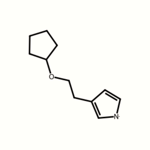 C1=CC(CCOC2CCCC2)=C[N]1